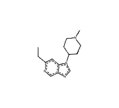 CCc1cc2c(cn1)ncn2C1CCN(C)CC1